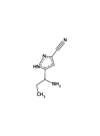 CCC(N)c1cc(C#N)n[nH]1